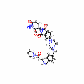 CN(CCC(=O)N1CCCCC1)Cc1ccc(CN2CCN(c3ccc4c(c3)C(=O)N(C3CCC(=O)NC3=O)C4=O)CC2)cc1